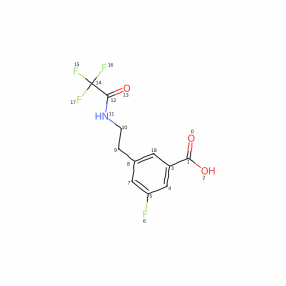 O=C(O)c1cc(F)cc(CCNC(=O)C(F)(F)F)c1